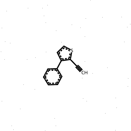 C#Cc1sccc1-c1ccccc1